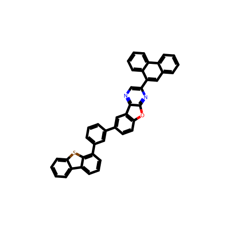 c1cc(-c2ccc3oc4nc(-c5cc6ccccc6c6ccccc56)cnc4c3c2)cc(-c2cccc3c2sc2ccccc23)c1